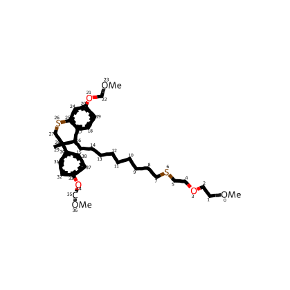 COCCOCCSCCCCCCCCCC1c2ccc(OCOC)cc2SCC1(C)c1ccc(OCOC)cc1